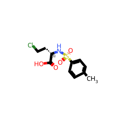 Cc1ccc(S(=O)(=O)N[C@@H](CCCl)C(=O)O)cc1